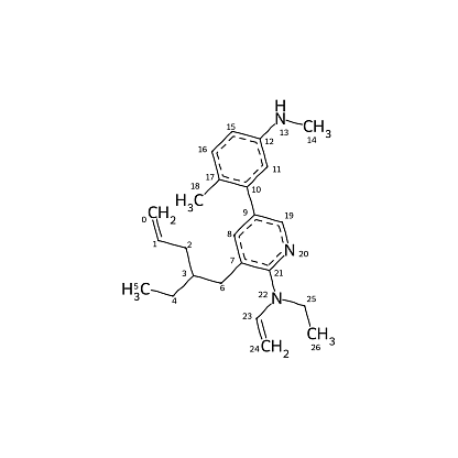 C=CCC(CC)Cc1cc(-c2cc(NC)ccc2C)cnc1N(C=C)CC